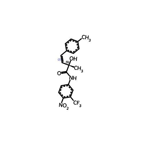 Cc1ccc(/C=C\[C@](C)(O)C(=O)Nc2ccc([N+](=O)[O-])c(C(F)(F)F)c2)cc1